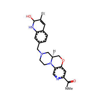 CCC1=Cc2ccc(CN3CCN4c5cnc(C(=O)NC)cc5OC[C@@H]4C3)cc2NC1O